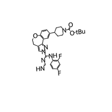 CC(C)(C)OC(=O)N1CCC(c2ccc3c(c2)-c2nn(/C(=N/C=N)Nc4ccc(F)cc4F)cc2CCO3)CC1